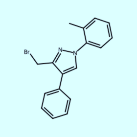 Cc1ccccc1-n1cc(-c2ccccc2)c(CBr)n1